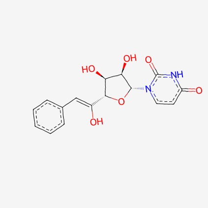 O=c1ccn([C@@H]2O[C@H](C(O)=Cc3ccccc3)[C@@H](O)[C@H]2O)c(=O)[nH]1